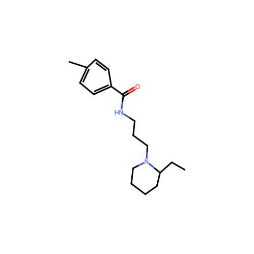 CCC1CCCCN1CCCNC(=O)c1ccc(C)cc1